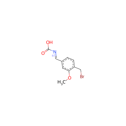 COc1cc(/C=N/C(=O)O)ccc1CBr